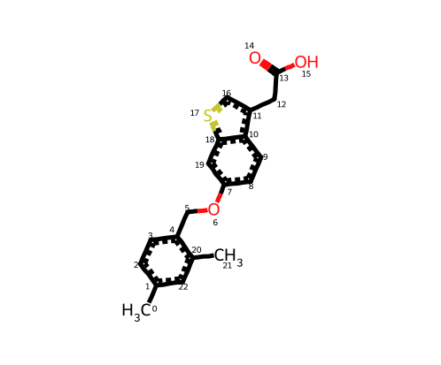 Cc1ccc(COc2ccc3c(CC(=O)O)csc3c2)c(C)c1